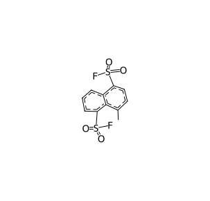 Cc1ccc(S(=O)(=O)F)c2cccc(S(=O)(=O)F)c12